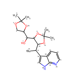 CC1(C)OCC(C(O)C2OC(C)(C)OC2C(c2c[nH]c3ncccc23)C(C)(C)C)O1